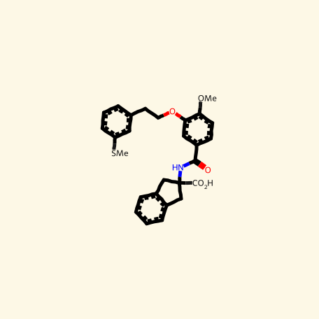 COc1ccc(C(=O)NC2(C(=O)O)Cc3ccccc3C2)cc1OCCc1cccc(SC)c1